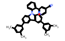 Cc1cc(C)cc(-c2ccc3c(c2)c2cc(-c4cc(C)cc(C)c4)ccc2n3-c2ccccc2-c2cc(C#N)ccn2)c1